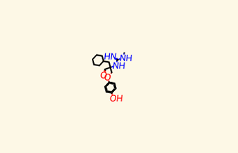 CNC(=N)NC(C=O)(COc1ccc(O)cc1)CC1CCCCC1